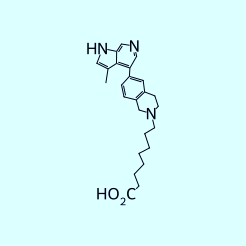 Cc1c[nH]c2cncc(-c3ccc4c(c3)CCN(CCCCCCCC(=O)O)C4)c12